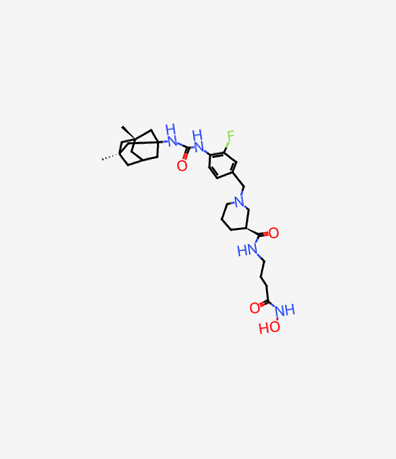 C[C@]12CC3CC(NC(=O)Nc4ccc(CN5CCC[C@H](C(=O)NCCCC(=O)NO)C5)cc4F)(C1)C[C@@](C)(C3)C2